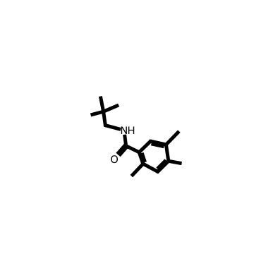 Cc1cc(C)c(C(=O)NCC(C)(C)C)cc1C